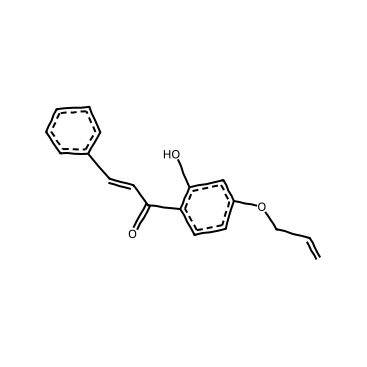 C=CCOc1ccc(C(=O)/C=C/c2ccccc2)c(O)c1